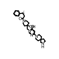 C[C@H](CC(=O)N1CCC(O)(Cn2cnc(N3CCC4(CCNC4)CC3)cc2=O)CC1)c1ccccc1